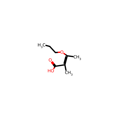 CCCOC(C)=C(C)C(=O)O